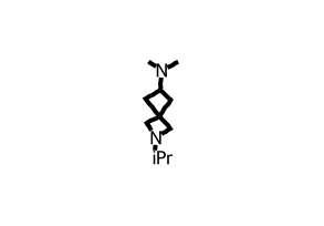 CC(C)N1CC2(CC(N(C)C)C2)C1